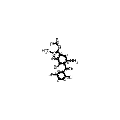 Cn1nc2c(Br)c(C(=O)c3cc(F)ccc3Cl)c(N)cc2c1OC(F)F